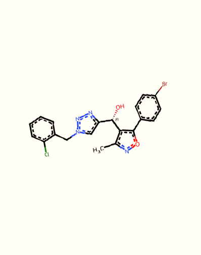 Cc1noc(-c2ccc(Br)cc2)c1[C@@H](O)c1cn(Cc2ccccc2Cl)nn1